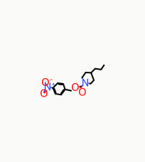 CCCC1CCN(C(=O)OCc2ccc([N+](=O)[O-])cc2)CC1